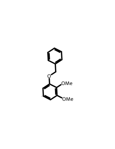 COc1c[c]cc(OCc2ccccc2)c1OC